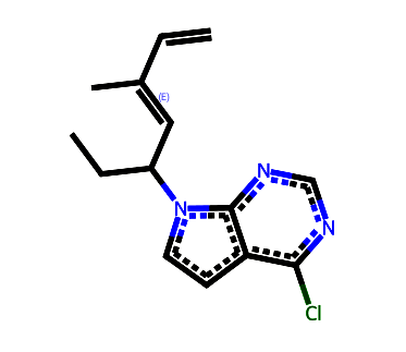 C=C/C(C)=C/C(CC)n1ccc2c(Cl)ncnc21